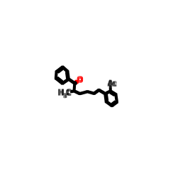 CC(=O)c1ccccc1CCCCC(C)C(=O)c1ccccc1